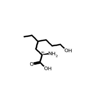 CCC(CCCO)C[C@@H](N)C(=O)O